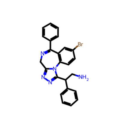 NCC(c1ccccc1)c1nnc2n1-c1ccc(Br)cc1C(c1ccccc1)=NC2